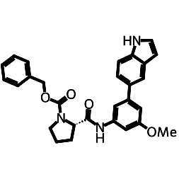 COc1cc(NC(=O)[C@@H]2CCCN2C(=O)OCc2ccccc2)cc(-c2ccc3[nH]ccc3c2)c1